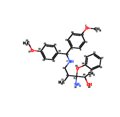 COc1ccc(C(NCC(C)C(N)(Oc2ccccc2)C(C)O)c2ccc(OC)cc2)cc1